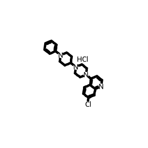 Cl.Clc1ccc2c(N3CCN(C4CCN(c5ccccc5)CC4)CC3)ccnc2c1